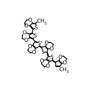 CC1=C/C(=c2/s/c(=c3/s/c(=C4/[S+]=C(c5sc(-c6sc(C)c7c6OCCO7)c6c5OCCO6)C5=C4OCCO5)c4c3OCCO4)c3c2OCCO3)C2=C1OCCO2